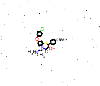 COc1ccc(C2Sc3cc(Oc4ccc(Cl)cc4)ccc3N(CCN(C)C)C(=O)C2O)cc1